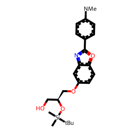 CNc1ccc(-c2nc3cc(OC[C@H](CO)O[Si](C)(C)C(C)(C)C)ccc3o2)cc1